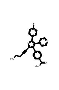 COC(=O)c1ccc(-c2c(C#CCCO)sc(-c3ccc(F)cc3)c2-c2ccncc2)cc1